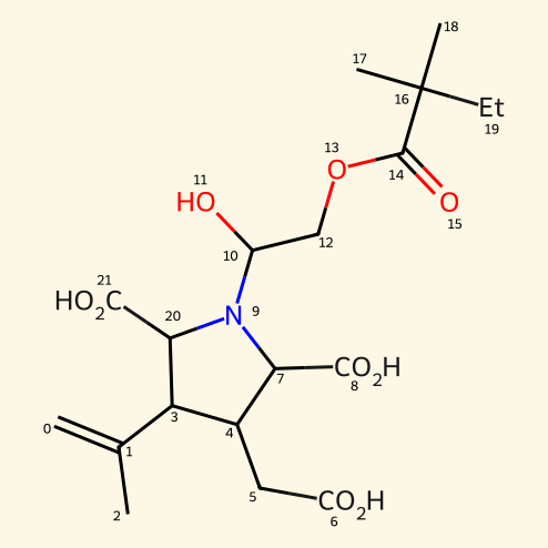 C=C(C)C1C(CC(=O)O)C(C(=O)O)N(C(O)COC(=O)C(C)(C)CC)C1C(=O)O